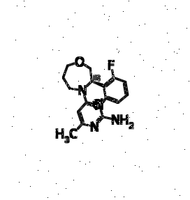 Cc1cc(N2CCCOC[C@H]2c2c(F)cccc2Cl)nc(N)n1